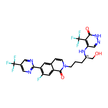 O=c1[nH]ncc(N[C@@H](CO)CCCn2ccc3cc(-c4ncc(C(F)(F)F)cn4)c(F)cc3c2=O)c1C(F)(F)F